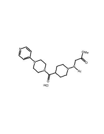 COC(=O)CN(C(C)=O)N1CCC(C(=O)N2CCN(c3ccncc3)CC2)CC1.Cl